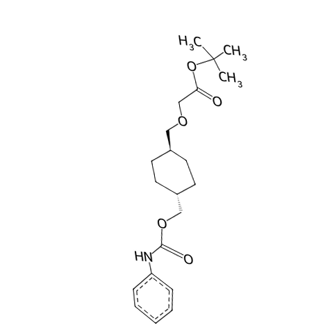 CC(C)(C)OC(=O)COC[C@H]1CC[C@H](COC(=O)Nc2ccccc2)CC1